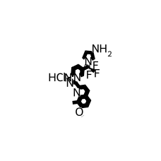 COc1ccc2ccc(-c3nnc4ccc([C@@H](N5CCC(N)C5)C(F)(F)F)cn34)nc2c1C.Cl